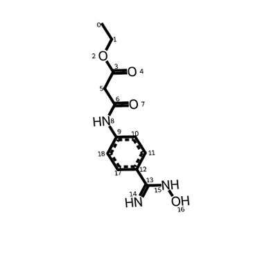 CCOC(=O)CC(=O)Nc1ccc(C(=N)NO)cc1